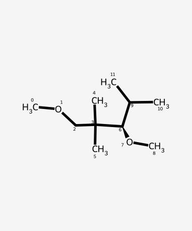 COCC(C)(C)[C@H](OC)C(C)C